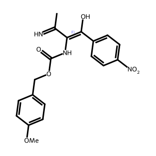 COc1ccc(COC(=O)N/C(C(C)=N)=C(/O)c2ccc([N+](=O)[O-])cc2)cc1